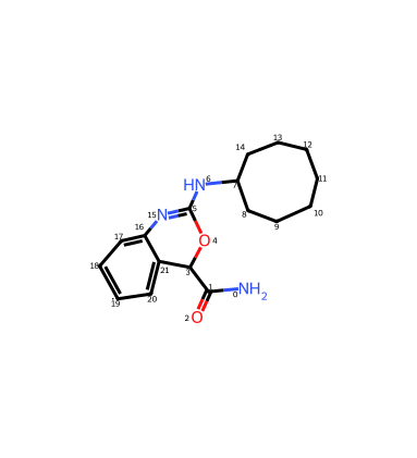 NC(=O)C1OC(NC2CCCCCCC2)=Nc2cc[c]cc21